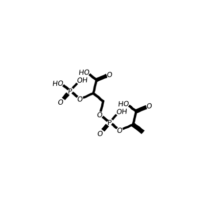 C=C(OP(=O)(O)OCC(OP(=O)(O)O)C(=O)O)C(=O)O